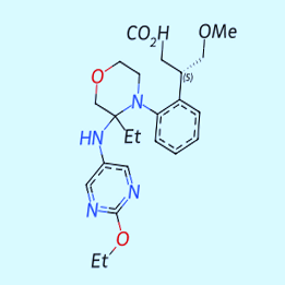 CCOc1ncc(NC2(CC)COCCN2c2ccccc2[C@@H](COC)CC(=O)O)cn1